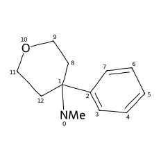 CNC1(c2ccccc2)CCOCC1